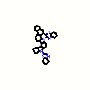 c1ccc2cc(-c3nc4ccccc4nc3-n3c4ccccc4c4c5c6ccccc6n(-c6cnc7ccccc7n6)c5ccc43)ccc2c1